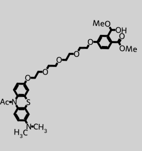 COC(=O)c1ccc(OCCOCCOCCOCCOc2ccc3c(c2)Sc2cc(N(C)C)ccc2N3C(C)=O)cc1C(O)OC